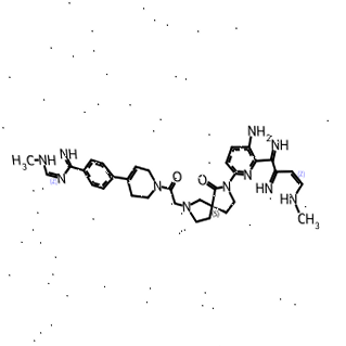 CN/C=C\C(=N)C(=N)c1nc(N2CC[C@]3(CCN(CC(=O)N4CC=C(c5ccc(C(=N)/N=C\NC)cc5)CC4)C3)C2=O)ccc1N